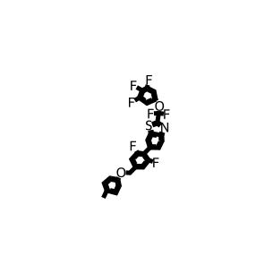 Cc1ccc(OCc2cc(F)c(-c3ccc4nc(C(F)(F)Oc5cc(F)c(F)c(F)c5)sc4c3)c(F)c2)cc1